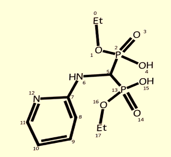 CCOP(=O)(O)C(Nc1ccccn1)P(=O)(O)OCC